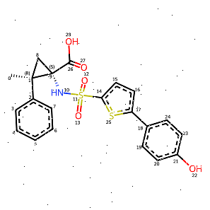 C[C@]1(c2ccccc2)C[C@@]1(NS(=O)(=O)c1ccc(-c2ccc(O)cc2)s1)C(=O)O